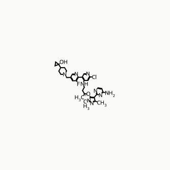 Cc1nn(C)c(O[C@@H](C)CCNc2cc(Cl)ncc2-c2ncc(CN3CCC(C4(O)CC4)CC3)cc2F)c1-c1nccc(N)n1